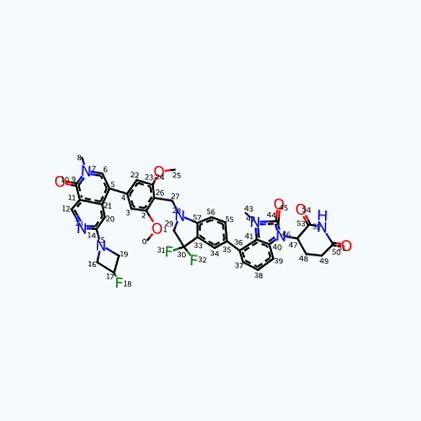 COc1cc(-c2cn(C)c(=O)c3cnc(N4CC(F)C4)cc23)cc(OC)c1CN1CC(F)(F)c2cc(-c3cccc4c3n(C)c(=O)n4C3CCC(=O)NC3=O)ccc21